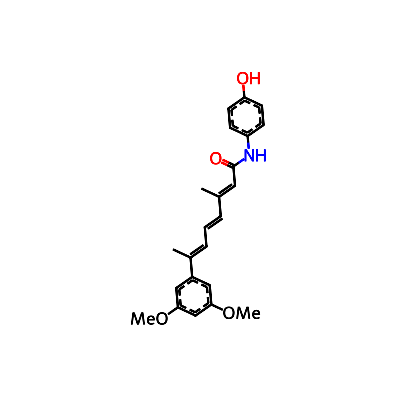 COc1cc(OC)cc(/C(C)=C/C=C/C(C)=C/C(=O)Nc2ccc(O)cc2)c1